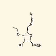 CCOC1C(O)[C@H](N=N)O[C@@H]1CN=[N+]=[N-]